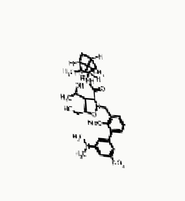 COc1c(CN2O[C@@H](CO)C(C(C)O)[C@H]2C(=O)N[C@H]2C[C@H]3C[C@@H]([C@@H]2C)C3(C)C)cccc1-c1cc(N(C)C)cc([N+](=O)[O-])c1